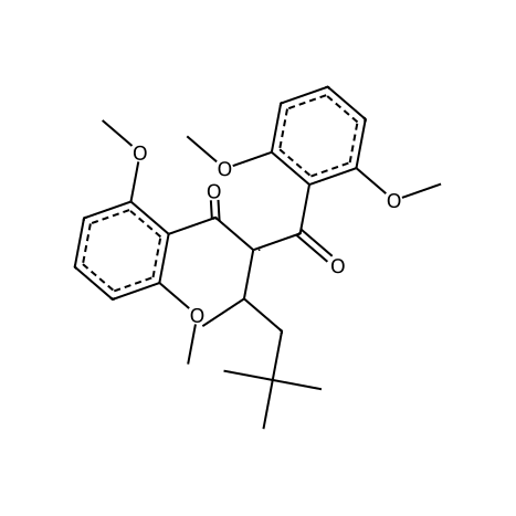 COc1cccc(OC)c1C(=O)[C](C(=O)c1c(OC)cccc1OC)C(C)CC(C)(C)C